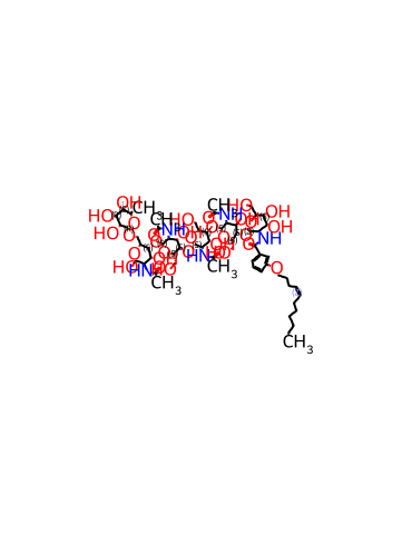 CCCCCC/C=C\CCCOc1cccc(C(=O)NC2C(O)[C@H](O)C(CO)O[C@H]2O[C@H]2C(O)C(NC(C)=O)[C@H](O[C@@H]3C(CO)O[C@@H](O[C@H]4C(O)C(NC(C)=O)[C@H](O[C@@H]5C(CO[C@@H]6OC(C)[C@@H](O)[C@@H](O)C6O)OC(O)C(NC(C)=O)C5O)O[C@H]4CO)C(NC(C)=O)C3O)O[C@H]2CO)c1